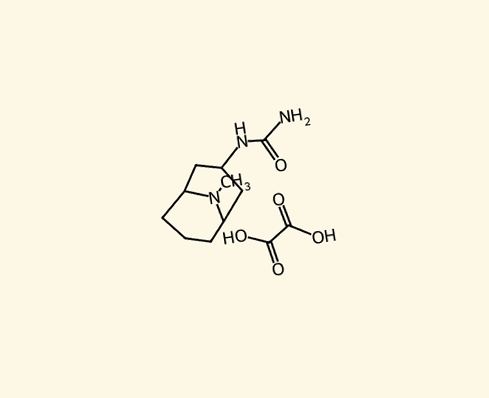 CN1C2CCCC1CC(NC(N)=O)C2.O=C(O)C(=O)O